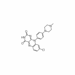 CN1CCN(c2ccc(-n3c4nc(=O)[nH]c(=O)c-4nc4ccc(Cl)cc43)cc2)CC1